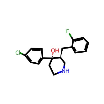 O[C@@]1(c2ccc(Cl)cc2)CCNC[C@@H]1Cc1ccccc1F